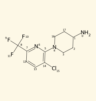 NC1CCN(c2nc(C(F)(F)F)ccc2Cl)CC1